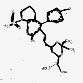 CC(C)c1nc2c(c(-c3ccc(F)cc3)c1/C=C/C1CC([C@@H](C(=O)O)C(C)(C)C)OC(C)(C)O1)CCCN2S(C)(=O)=O